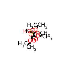 CC(C)COC(=O)CC(C(=O)OCC(C)C)C(C(=O)OCC(C)C)S(=O)(=O)O.[Na]